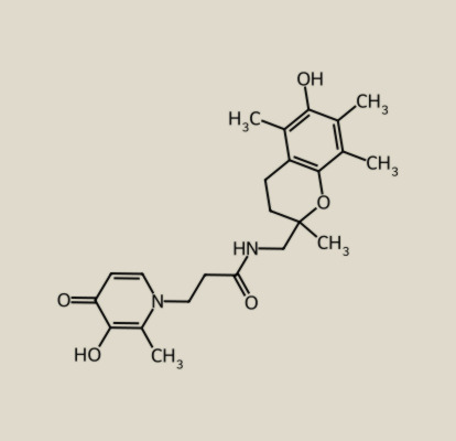 Cc1c(C)c2c(c(C)c1O)CCC(C)(CNC(=O)CCn1ccc(=O)c(O)c1C)O2